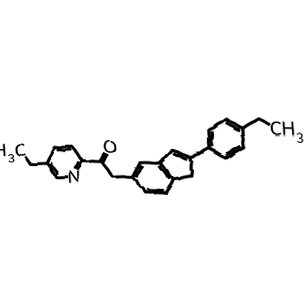 CCc1ccc(C2=Cc3cc(CC(=O)c4ccc(CC)cn4)ccc3C2)cc1